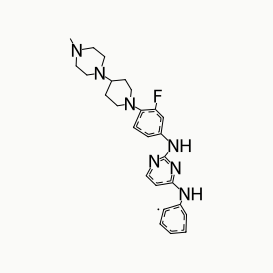 CN1CCN(C2CCN(c3ccc(Nc4nccc(Nc5[c]cccc5)n4)cc3F)CC2)CC1